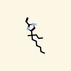 C=Cc1nc(C(C)(CCC)CCCCCC)c[nH]1